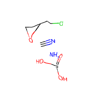 C#N.ClCC1CO1.N.O=[Si](O)O